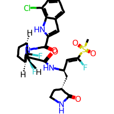 CS(=O)(=O)/C(F)=C/[C@@H](C[C@H]1CCNC1=O)NC(=O)[C@@H]1[C@H]2CC[C@H](CC2(F)F)N1C(=O)c1cc2cccc(Cl)c2[nH]1